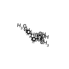 CCOc1ccc(CCc2cccc(C3OC(OC)C(O)C(O)C3O)c2)cc1